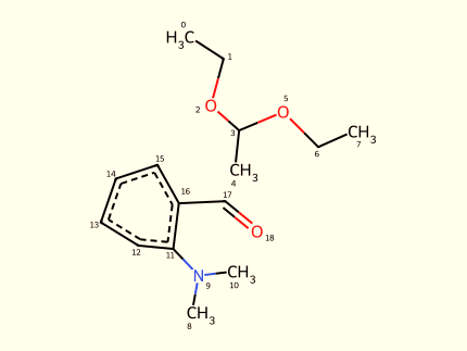 CCOC(C)OCC.CN(C)c1ccccc1C=O